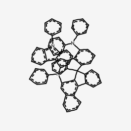 c1ccc(N(c2ccccc2)c2cccc3c2-c2ccccc2C32c3ccccc3-c3c2c(N(c2ccccc2)c2cccc4c2c2ccccc2n4-c2ccccc2)cc2ccccc32)cc1